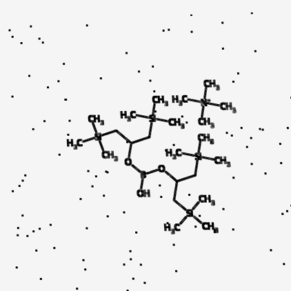 C[N+](C)(C)C.C[Si](C)(C)CC(C[Si](C)(C)C)OB(O)OC(C[Si](C)(C)C)C[Si](C)(C)C